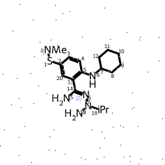 CNSc1ccc(NC2CCCCC2)c(/C(N)=N/N(N)C(C)C)c1